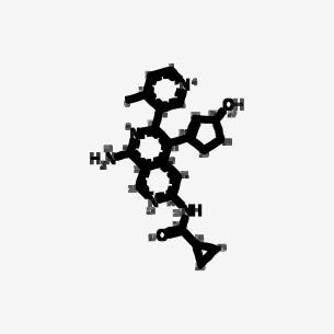 Cc1ccncc1-c1nc(N)c2cnc(NC(=O)C3CC3)cc2c1C1=CC(O)CC1